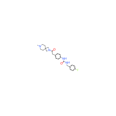 CN1CCC2(CC1)CN(C(=O)Cc1ccc(NC(=O)NCc3ccc(F)cc3)cc1)C2